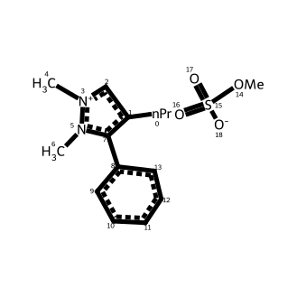 CCCc1c[n+](C)n(C)c1-c1ccccc1.COS(=O)(=O)[O-]